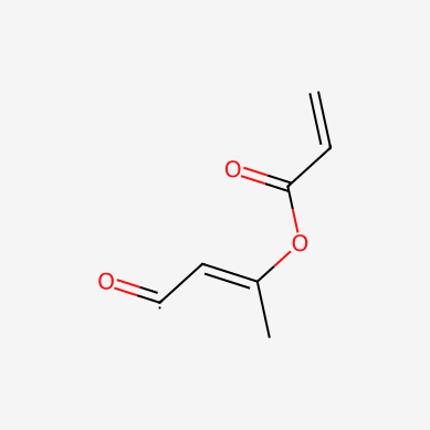 C=CC(=O)OC(C)=C[C]=O